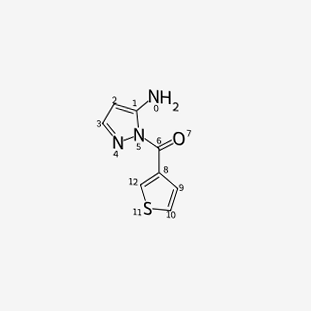 Nc1ccnn1C(=O)c1ccsc1